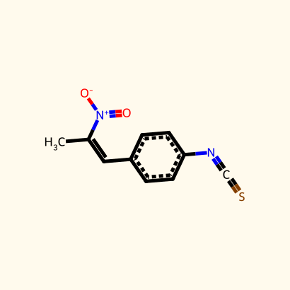 CC(=Cc1ccc(N=C=S)cc1)[N+](=O)[O-]